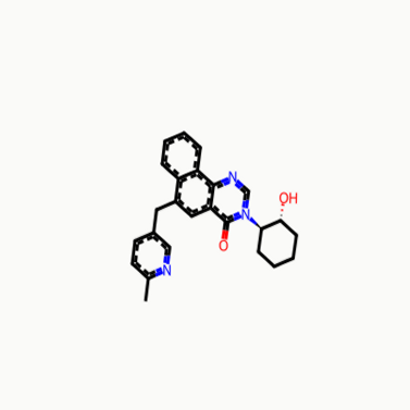 Cc1ccc(Cc2cc3c(=O)n([C@@H]4CCCC[C@H]4O)cnc3c3ccccc23)cn1